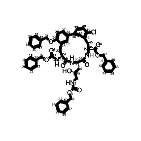 O=C(NC[C@H](O)C[C@@H]1NC(=O)[C@@H](NC(=O)OCc2ccccc2)Cc2cc(ccc2OCc2ccccc2)-c2ccc(Cl)c(c2)C[C@@H](C(=O)OCc2ccccc2)NC1=O)OCc1ccccc1